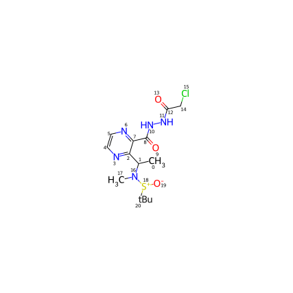 CC(c1nccnc1C(=O)NNC(=O)CCl)N(C)[S+]([O-])C(C)(C)C